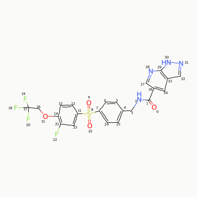 O=C(NCc1ccc(S(=O)(=O)c2ccc(OCC(F)(F)F)c(F)c2)cc1)c1cnc2[nH]ncc2c1